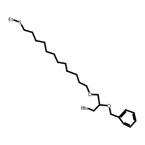 CCSCCCCCCCCCCCCOCC(CC(C)(C)C)OCc1ccccc1